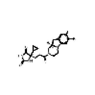 O=C1NC(=O)[C@](CCC(=O)N2CCN3c4cc(Br)c(F)cc4C[C@@H]3C2)(C2CC2)N1